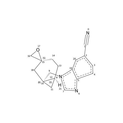 N#Cc1ccc2ncn(C[C@@]34C[C@@H]3CC[C@@]3(CO3)C4)c2c1